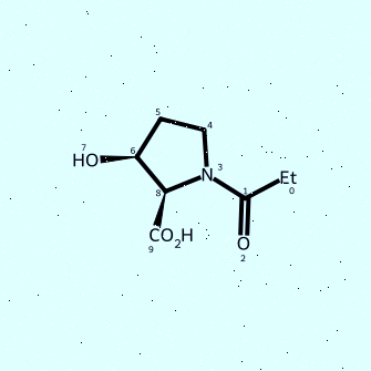 CCC(=O)N1CC[C@H](O)[C@@H]1C(=O)O